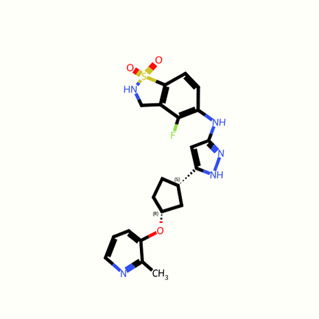 Cc1ncccc1O[C@@H]1CC[C@H](c2cc(Nc3ccc4c(c3F)CNS4(=O)=O)n[nH]2)C1